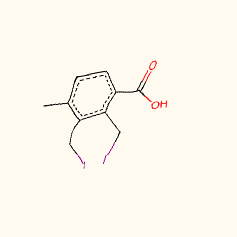 Cc1ccc(C(=O)O)c(CI)c1CI